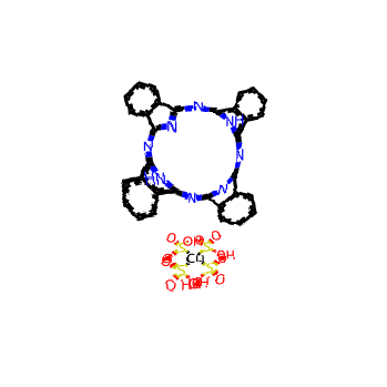 O=[S](=O)(O)[Cu]([S](=O)(=O)O)([S](=O)(=O)O)[S](=O)(=O)O.c1ccc2c(c1)-c1nc-2nc2[nH]c(nc3nc(nc4[nH]c(n1)c1ccccc41)-c1ccccc1-3)c1ccccc21